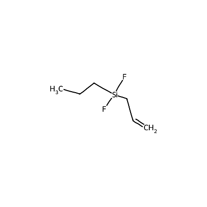 C=CC[Si](F)(F)CCC